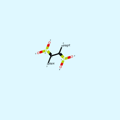 CCCCCCCC(C(CCCCCC)=S(=O)=O)=S(=O)=O